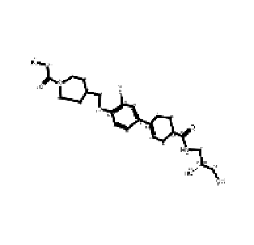 CC(C)(C)OC(=O)N1CCC(COc2ccc(C3=CCC(C(=O)NC[C@@H](O)CO)CC3)cc2F)CC1